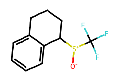 [O-][S+](C1CCCc2ccccc21)C(F)(F)F